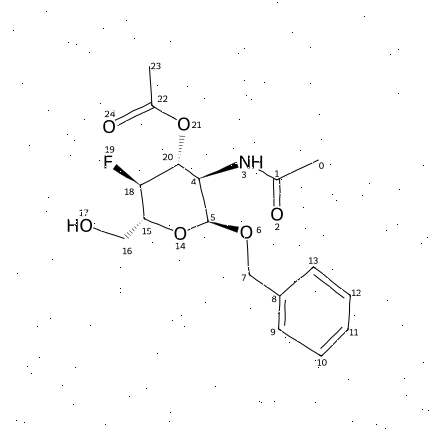 CC(=O)N[C@H]1[C@@H](OCc2ccccc2)O[C@H](CO)[C@@H](F)[C@@H]1OC(C)=O